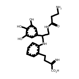 N=C(CCc1ccccc1NC(CNC(=O)CCN)c1cc(O)c(O)c(O)c1)C(=O)O